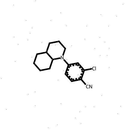 N#Cc1ccc(N2CCCC3CCCCC32)cc1Cl